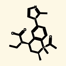 CCN(C(=O)[O-])[C@@H]1C[C@H](C)[N+](C)(C(C)=O)c2ccc(-n3ccnc3C)cc21